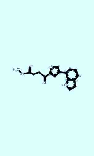 COC(=O)CCC(=O)c1cc(-c2cccc3ccoc23)cs1